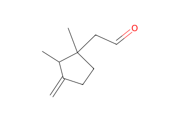 C=C1CCC(C)(CC=O)C1C